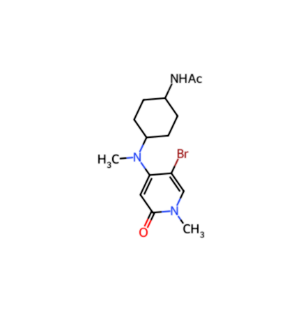 CC(=O)NC1CCC(N(C)c2cc(=O)n(C)cc2Br)CC1